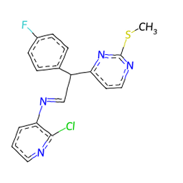 CSc1nccc(C(C=Nc2cccnc2Cl)c2ccc(F)cc2)n1